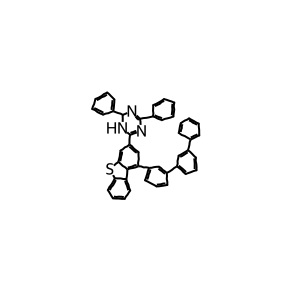 c1ccc(C2=NC(c3ccccc3)NC(c3cc(-c4cccc(-c5cccc(-c6ccccc6)c5)c4)c4c(c3)sc3ccccc34)=N2)cc1